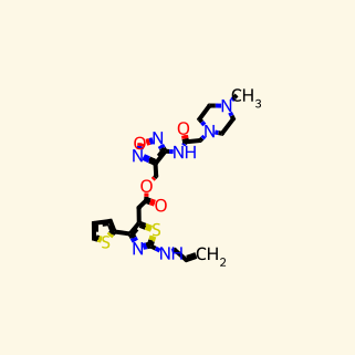 C=CCNc1nc(-c2cccs2)c(CC(=O)OCc2nonc2NC(=O)CN2CCN(C)CC2)s1